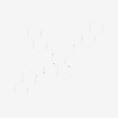 CON=C[C@H](OC(=O)c1ccc2ccccc2c1)[C@@H](OC(=O)c1ccc2ccccc2c1)[C@H](Br)COC(=O)c1ccc2ccccc2c1